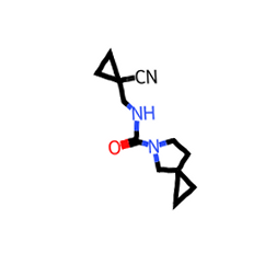 N#CC1(CNC(=O)N2CCC3(CC3)C2)CC1